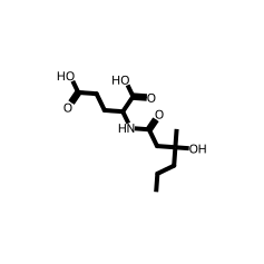 CCCC(C)(O)CC(=O)NC(CCC(=O)O)C(=O)O